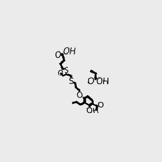 CCC(=O)O.CCCc1c(OCCCSCC2COC(CCC(=O)O)S2)ccc(C(C)=O)c1O